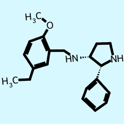 CCc1ccc(OC)c(CN[C@@H]2CCN[C@@H]2c2ccccc2)c1